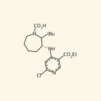 CCOC(=O)c1cnc(Cl)cc1N[C@@H]1CCCCN(C(=O)O)C1C(C)(C)C